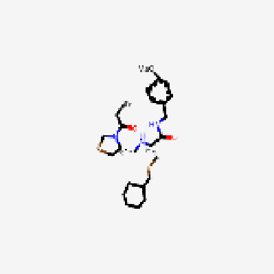 COc1ccc(CNC(=O)[C@H](CSCC2CCCCC2)NC[C@@H]2CSCN2C(=O)CC(C)C)cc1